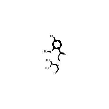 CCCCOc1cc(O)ccc1C(=O)OC[C@H](CC(C)C)N(C)C